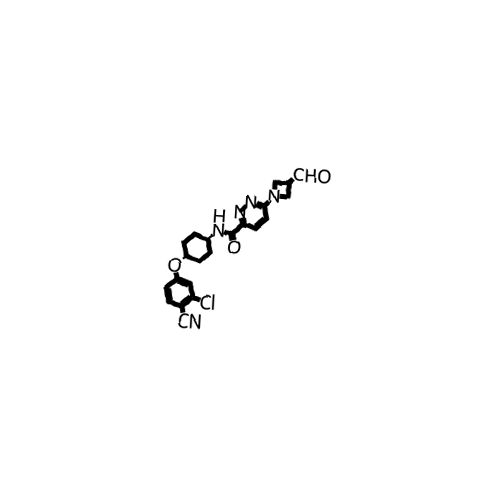 N#Cc1ccc(O[C@H]2CC[C@H](NC(=O)c3ccc(N4CC(C=O)C4)nn3)CC2)cc1Cl